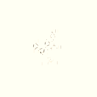 CN1CCN(C(CC(N)=O)c2cc(Nc3cc(-c4cc(Cl)ccc4F)nnc3OCC3COC(C)(C)O3)ccn2)CC1